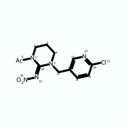 CC(=O)N1CCCN(Cc2ccc(Cl)nc2)C1=N[N+](=O)[O-]